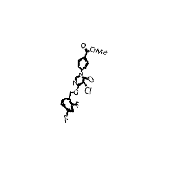 COC(=O)c1ccc(-n2cnc(OCc3ccc(F)cc3F)c(Cl)c2=O)cc1